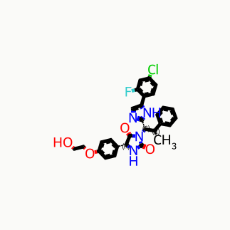 C[C@H](c1ccccc1)[C@@H](c1ncc(-c2ccc(Cl)cc2F)[nH]1)N1C(=O)N[C@H](c2ccc(OCCO)cc2)C1=O